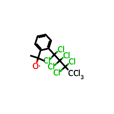 CC(C)([O])c1ccccc1C(Cl)(Cl)C(Cl)(Cl)C(Cl)(Cl)C(Cl)(Cl)Cl